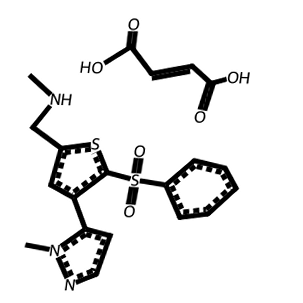 CNCc1cc(-c2ccnn2C)c(S(=O)(=O)c2ccccc2)s1.O=C(O)C=CC(=O)O